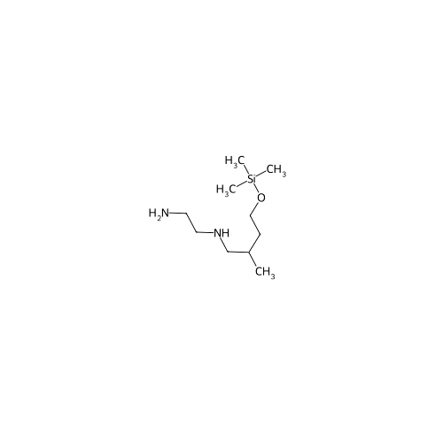 CC(CCO[Si](C)(C)C)CNCCN